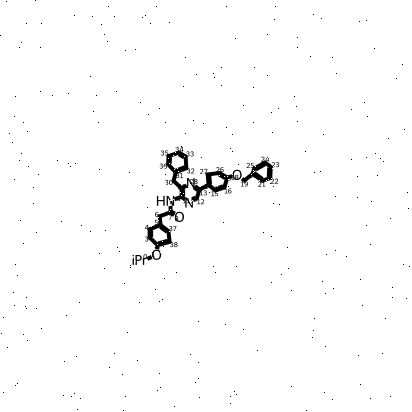 CC(C)Oc1ccc(CC(=O)Nc2ncc(-c3ccc(OCc4ccccc4)cc3)nc2Cc2ccccc2)cc1